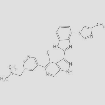 Cc1cn(-c2cccc3[nH]c(-c4n[nH]c5cnc(-c6cncc(CN(C)C)c6)c(F)c45)nc23)cn1